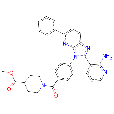 COC(=O)C1CCN(C(=O)c2ccc(-n3c(-c4cccnc4N)nc4ccc(-c5ccccc5)nc43)cc2)CC1